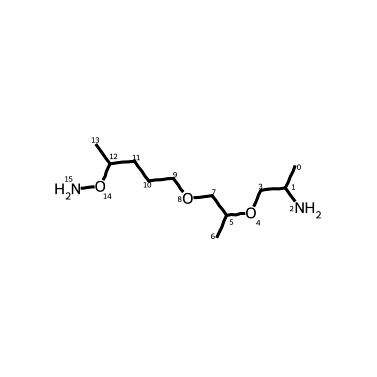 CC(N)COC(C)COCCCC(C)ON